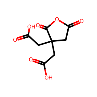 O=C(O)CC1(CC(=O)O)CC(=O)OC1=O